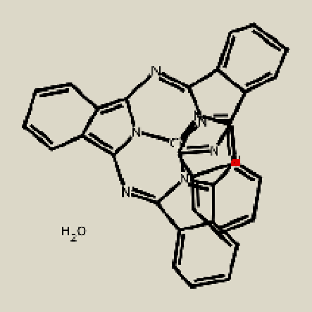 O.c1ccc2c(c1)C1=Nc3c4ccccc4c4[n]3[Cu]35[n]6c(c7ccccc7c6=NC6=[N+]3C(=N4)c3ccccc36)=NC2=[N+]15